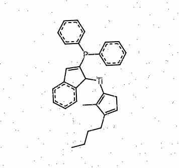 CCCCC1=CC[C]([Ti][CH]2C(P(c3ccccc3)c3ccccc3)=Cc3ccccc32)=C1C